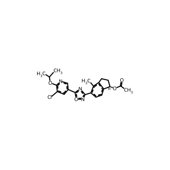 CC(=O)O[C@@H]1CCc2c1ccc(-c1noc(-c3cnc(OC(C)C)c(Cl)c3)n1)c2C